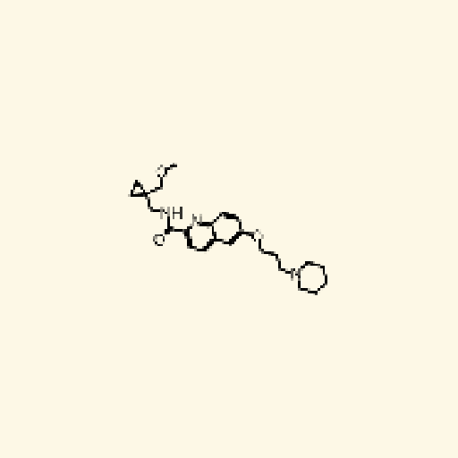 COCC1(CNC(=O)c2ccc3cc(OCCCN4CCCCC4)ccc3n2)CC1